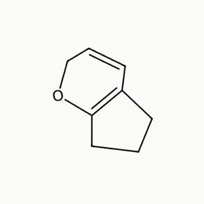 C1=CC2=C(CCC2)OC1